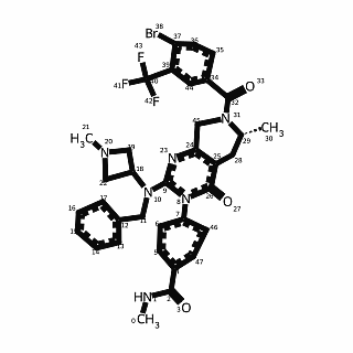 CNC(=O)c1ccc(-n2c(N(Cc3ccccc3)C3CN(C)C3)nc3c(c2=O)C[C@@H](C)N(C(=O)c2ccc(Br)c(C(F)(F)F)c2)C3)cc1